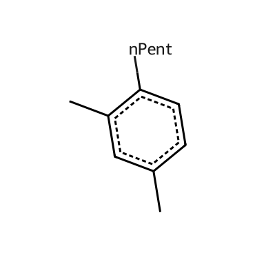 CCC[CH]Cc1ccc(C)cc1C